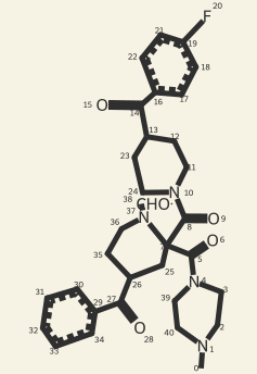 CN1CCN(C(=O)C2(C(=O)N3CCC(C(=O)c4ccc(F)cc4)CC3)CC(C(=O)c3ccccc3)CCN2[C]=O)CC1